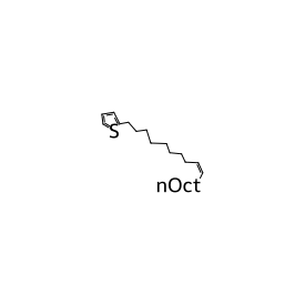 CCCCCCCC/C=C\CCCCCCCCc1cccs1